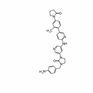 Cc1cc(N2CCCC2=O)ccc1-c1ccc(Nc2cncc(N3CCN(Cc4ccc(N)cc4)C3=O)c2)nc1